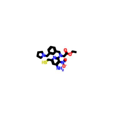 CCOC(=O)CN(Cc1cccc(CN2CCCC2)c1)c1nc(CS)cc(N)c1[N+](=O)[O-]